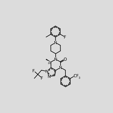 Cc1cccc(F)c1N1CCC(N2C(=O)N(Cc3ccccc3C(F)(F)F)c3cnn(CC(C)(F)F)c3[C@H]2C)CC1